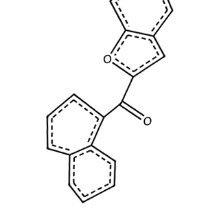 O=C(c1cc2ccccc2o1)c1cccc2ccccc12